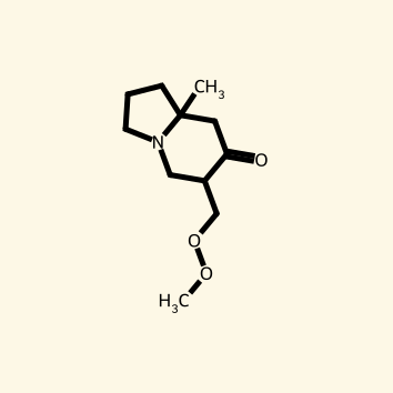 COOCC1CN2CCCC2(C)CC1=O